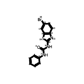 O=C(Nc1ccccc1)Nc1nc2ccc(Br)cc2s1